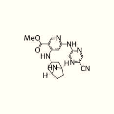 COC(=O)c1cnc(Nc2cnc(C#N)cn2)cc1N[C@@H]1C[C@H]2CC[C@@H](C1)N2